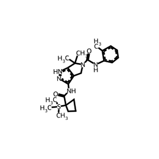 Cc1ccccc1NC(=O)N1Cc2c(NC(=O)C3(S(C)(C)C)CCC3)n[nH]c2C1(C)C